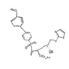 COc1ccc(-c2ccc(S(=O)(=O)NC(C[C@@H](O)CSc3nccs3)C(=O)O)cc2)cc1